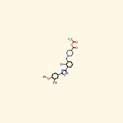 CCc1c(CN2CCC(C(=O)OC(=O)C(F)(F)F)CC2)cccc1-c1nsc(-c2ccc(OC(C)C)c(C#N)c2)n1